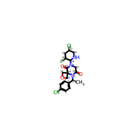 C[C@@H](c1ccc(Cl)cc1)N1C(=O)CN(C2NCC(Cl)CC2F)C(=O)C12COC2